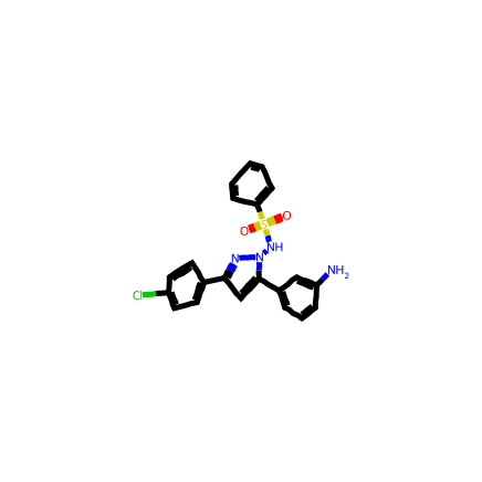 Nc1cccc(-c2cc(-c3ccc(Cl)cc3)nn2NS(=O)(=O)c2ccccc2)c1